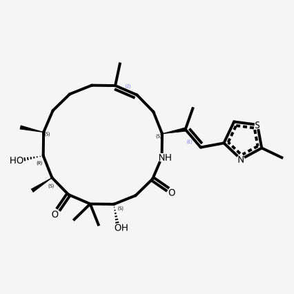 C/C1=C/C[C@@H](/C(C)=C/c2csc(C)n2)NC(=O)C[C@H](O)C(C)(C)C(=O)[C@@H](C)[C@H](O)[C@@H](C)CCC1